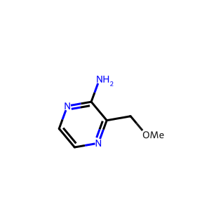 COCc1nccnc1N